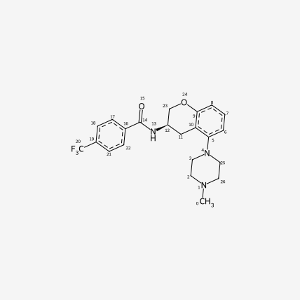 CN1CCN(c2cccc3c2C[C@@H](NC(=O)c2ccc(C(F)(F)F)cc2)CO3)CC1